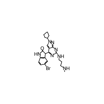 CNCCCNc1nc(C2C(=O)Nc3ccc(Br)cc32)c2cn(C3CCCC3)nc2n1